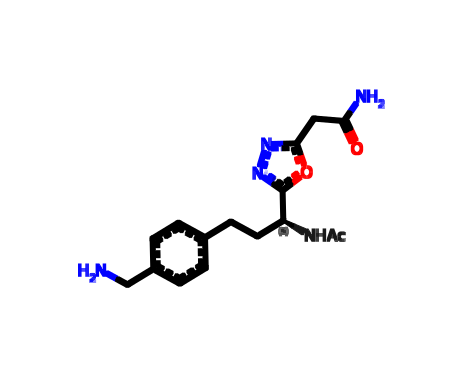 CC(=O)N[C@@H](CCc1ccc(CN)cc1)c1nnc(CC(N)=O)o1